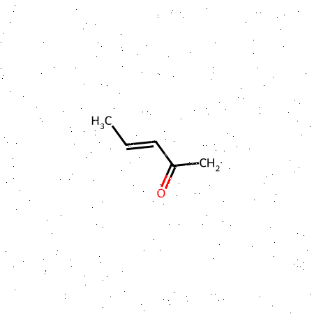 [CH2]C(=O)C=CC